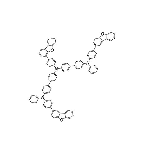 c1ccc(N(c2ccc(-c3ccc(N(c4ccc(-c5ccc(N(c6ccccc6)c6ccc(-c7ccc8oc9ccccc9c8c7)cc6)cc5)cc4)c4ccc(-c5cccc6c5oc5ccccc56)cc4)cc3)cc2)c2ccc(-c3ccc4oc5ccccc5c4c3)cc2)cc1